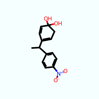 CC(C1=CCC(O)(O)C=C1)c1ccc([N+](=O)[O-])cc1